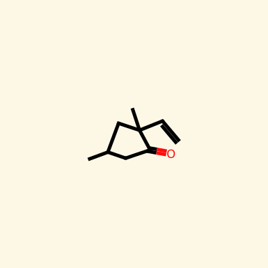 C=CC1(C)CC(C)CC1=O